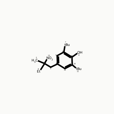 CCC(C)(Cc1cc(C(C)(C)C)c(O)c(C(C)(C)C)c1)[N+](=O)[O-]